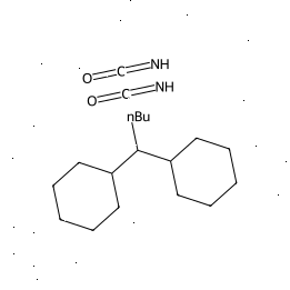 CCCCC(C1CCCCC1)C1CCCCC1.N=C=O.N=C=O